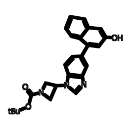 CC(C)(C)OC(=O)N1CC(n2cnc3cc(-c4cc(O)cc5ccccc45)ccc32)C1